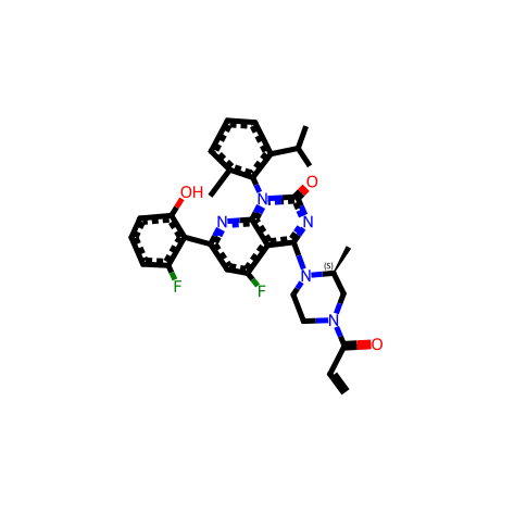 C=CC(=O)N1CCN(c2nc(=O)n(-c3c(C)cccc3C(C)C)c3nc(-c4c(O)cccc4F)cc(F)c23)[C@@H](C)C1